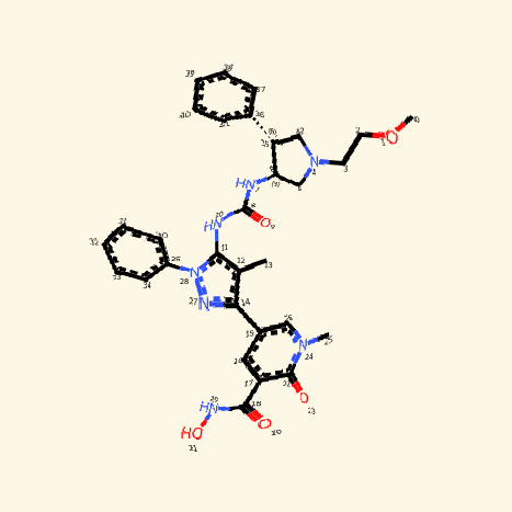 COCCN1C[C@@H](NC(=O)Nc2c(C)c(-c3cc(C(=O)NO)c(=O)n(C)c3)nn2-c2ccccc2)[C@H](c2ccccc2)C1